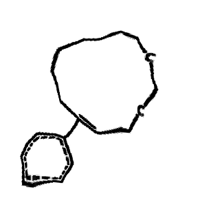 C1=C(c2ccccc2)CCCCCCCCCC1